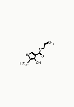 C=CCOC(=O)c1c[nH]c(C(=O)OCC)c1O